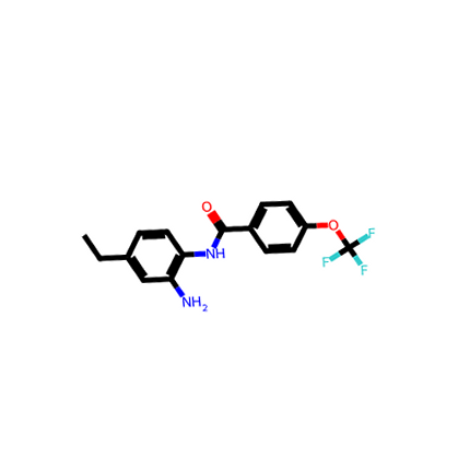 CCc1ccc(NC(=O)c2ccc(OC(F)(F)F)cc2)c(N)c1